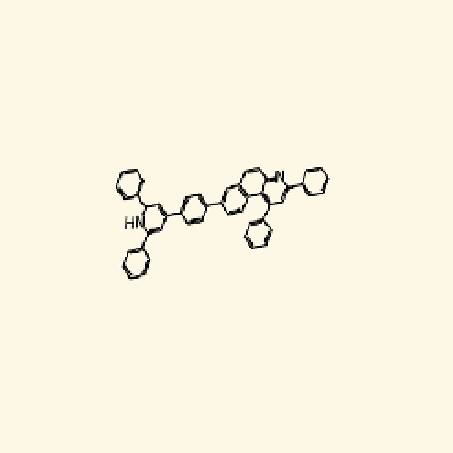 C1=C(c2ccc(-c3ccc4c(ccc5nc(-c6ccccc6)cc(-c6ccccc6)c54)c3)cc2)C=C(c2ccccc2)NC1c1ccccc1